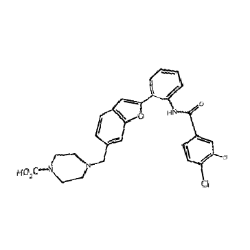 O=C(Nc1ccccc1-c1cc2ccc(CN3CCN(C(=O)O)CC3)cc2o1)c1ccc(Cl)c(Cl)c1